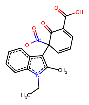 CCn1c(C)c(C2([N+](=O)[O-])C=CC=C(C(=O)O)C2=O)c2ccccc21